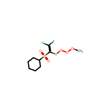 COOOSC(=C(F)F)S(=O)(=O)C1CCCCC1